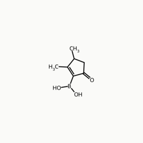 CC1=C(B(O)O)C(=O)CC1C